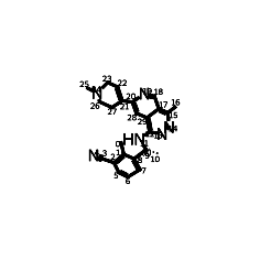 Cc1c(C#N)cccc1[C@@H](C)Nc1nnc(C)c2cnc(C3=CCN(C)CC3)cc12